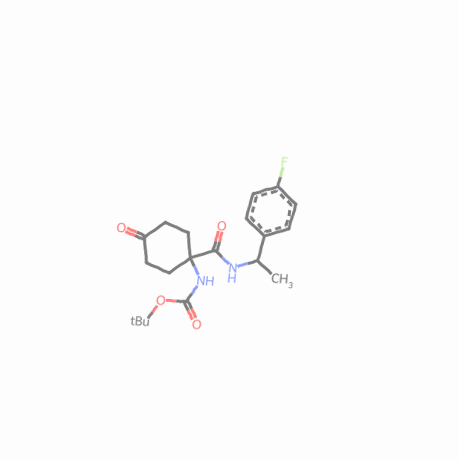 CC(NC(=O)C1(NC(=O)OC(C)(C)C)CCC(=O)CC1)c1ccc(F)cc1